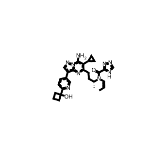 C/C=C\N(C(=O)c1nnc[nH]1)[C@H](C)CCc1nc2c(-c3ccc(C4(O)CCC4)nc3)cnn2c(N)c1C1CC1